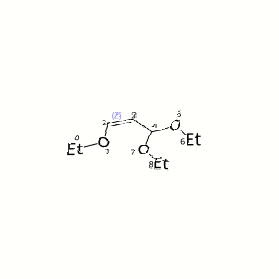 CCO/C=C\C(OCC)OCC